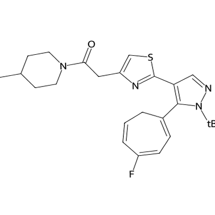 CC1CCN(C(=O)Cc2csc(-c3cnn(C(C)(C)C)c3C3=CC=C(F)C=CC3)n2)CC1